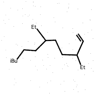 C=CC(CC)CCC(CC)CCC(C)CC